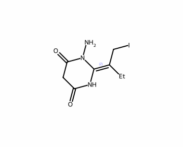 CC/C(CI)=C1\NC(=O)CC(=O)N1N